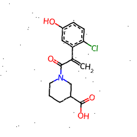 C=C(C(=O)N1CCCC(C(=O)O)C1)c1cc(O)[c]cc1Cl